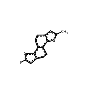 Cc1cc2ccc3c(ccc4cc(I)sc43)c2s1